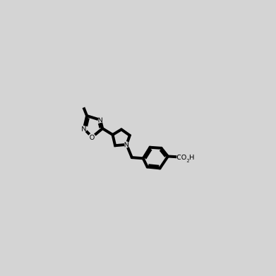 Cc1noc(C2CCN(Cc3ccc(C(=O)O)cc3)C2)n1